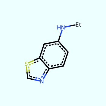 CCNc1ccc2ncsc2c1